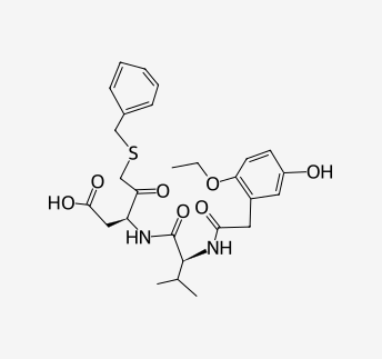 CCOc1ccc(O)cc1CC(=O)N[C@H](C(=O)N[C@@H](CC(=O)O)C(=O)CSCc1ccccc1)C(C)C